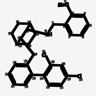 COc1ccccc1CNC1C2CCN(CC2)C1Cc1ccccc1-c1ccc(Cl)cc1Cl